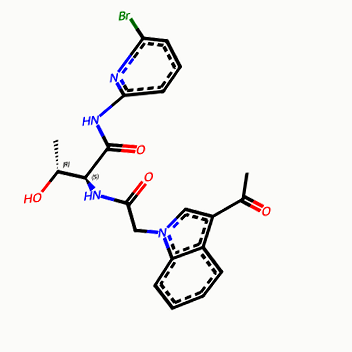 CC(=O)c1cn(CC(=O)N[C@H](C(=O)Nc2cccc(Br)n2)[C@@H](C)O)c2ccccc12